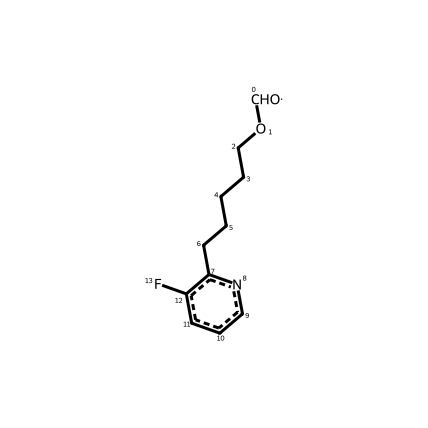 O=[C]OCCCCCc1ncccc1F